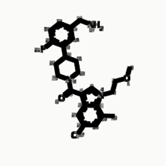 COCCn1cc(C(=O)N2CCC(c3cc(CN)ccc3F)CC2)c2cc(Cl)cc(C)c21